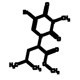 COC(=O)C(CC(C)C)n1cc(Br)c(=O)n(C)c1=O